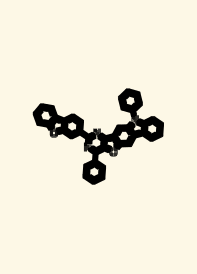 c1ccc(-c2nc(-c3ccc4c(c3)oc3ccccc34)nc3c2oc2cc4c5ccccc5n(-c5ccccc5)c4cc23)cc1